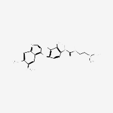 CCCCN(CCCC)CCNC(=O)Nc1ccc(Oc2ccnc3cc(OC)c(OC)cc23)c(C)c1C